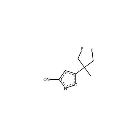 CC(CF)(CF)c1cc(N=O)no1